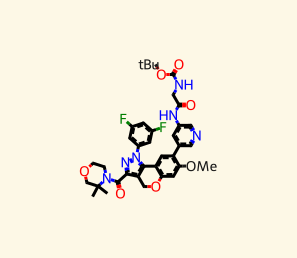 COc1cc2c(cc1-c1cncc(NC(=O)CNC(=O)OC(C)(C)C)c1)-c1c(c(C(=O)N3CCOCC3(C)C)nn1-c1cc(F)cc(F)c1)CO2